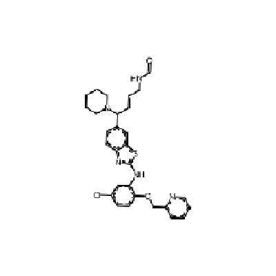 O=CNC/C=C/C(c1ccc2nc(Nc3cc(Cl)ccc3OCc3ccccn3)sc2c1)N1CCCCC1